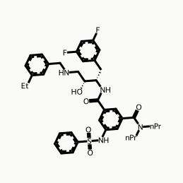 CCCN(CCC)C(=O)c1cc(NS(=O)(=O)c2ccccc2)cc(C(=O)N[C@@H](Cc2cc(F)cc(F)c2)[C@H](O)CNCc2cccc(CC)c2)c1